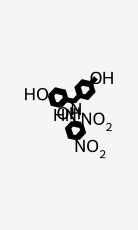 O=[N+]([O-])c1ccc(NN=C(c2ccc(O)cc2)c2ccc(O)cc2O)c([N+](=O)[O-])c1